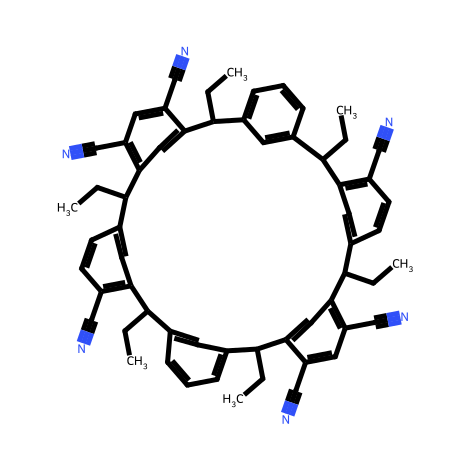 CCC1c2cccc(c2)C(CC)c2cc(c(C#N)cc2C#N)C(CC)c2ccc(C#N)c(c2)C(CC)c2cccc(c2)C(CC)c2cc(c(C#N)cc2C#N)C(CC)c2ccc(C#N)c1c2